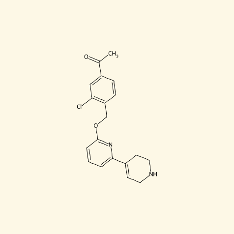 CC(=O)c1ccc(COc2cccc(C3=CCNCC3)n2)c(Cl)c1